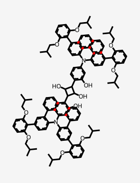 CC(C)COc1cccc(OCC(C)C)c1-c1ccc(N(c2ccc(C3C(O)C(c4ccc(N(c5ccc(-c6c(OCC(C)C)cccc6OCC(C)C)cc5-c5ccccc5)c5ccc(-c6c(OCC(C)C)cccc6OCC(C)C)cc5-c5ccccc5)cc4O)C3O)c(O)c2)c2ccc(-c3c(OCC(C)C)cccc3OCC(C)C)cc2-c2ccccc2)c(-c2ccccc2)c1